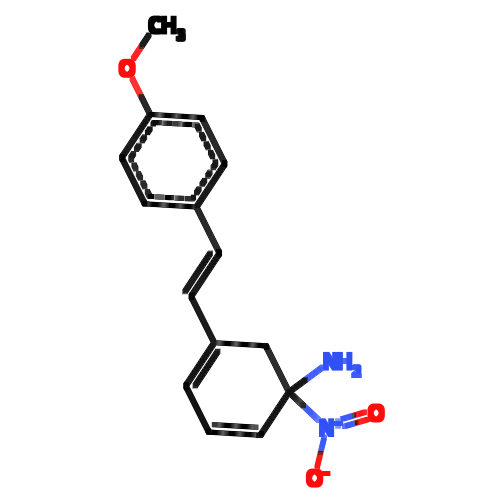 COc1ccc(/C=C/C2=CC=CC(N)([N+](=O)[O-])C2)cc1